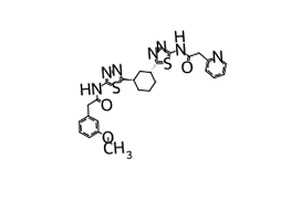 COc1cccc(CC(=O)Nc2nnc([C@@H]3CCC[C@@H](c4nnc(NC(=O)Cc5ccccn5)s4)C3)s2)c1